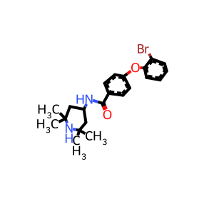 CC1(C)CC(NC(=O)c2ccc(Oc3ccccc3Br)cc2)CC(C)(C)N1